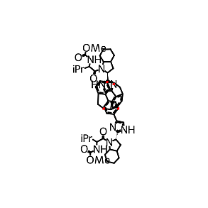 COC(=O)NC(C(=O)N1C2CCCCC2C[C@H]1c1nc(-c2ccc(-c3cc4ccc3CCc3ccc(c(-c5c[nH]c([C@@H]6CC7CCCCC7N6C(=O)C(NC(=O)OC)C(C)C)n5)c3)CC4)cc2)c[nH]1)C(C)C